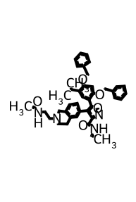 CCNC(=O)c1noc(-c2cc(C(C)C)c(OCc3ccccc3)cc2OCc2ccccc2)c1-c1ccc2c(c1)CCN(CCNC(C)=O)C2